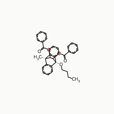 CCCCO[C@]12c3ccccc3[C@](C)(c3ccccc31)C(OC(=O)c1ccccc1)C2OC(=O)c1ccccc1